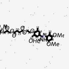 COc1cc(/N=C(\NC=O)c2cc(C)c(OCCOC(=O)CCC(=O)OCC(CO[N+](=O)[O-])O[N+](=O)[O-])c(C)c2)c(C)c(OC)c1